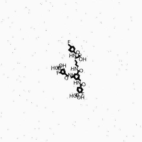 O=C(NCCCC[C@H](NC(=O)c1ccc(CF)cc1)C(=O)O)c1cc(CNC(=O)c2ccc(B(O)O)c(F)c2)cc(CNC(=O)c2ccc(B(O)O)c(F)c2)c1